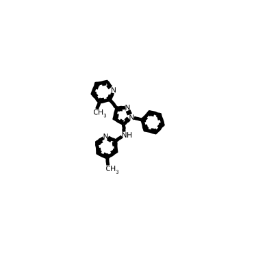 Cc1ccnc(Nc2cc(-c3ncccc3C)nn2-c2ccccc2)c1